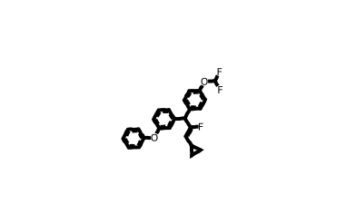 FC(=CC1CC1)C(c1ccc(OC(F)F)cc1)c1cccc(Oc2ccccc2)c1